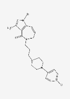 CCn1cc(C)c2c1C=CCN(CCCN1CCN(c3ccc(Cl)cc3)CC1)C2=O